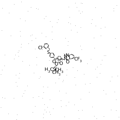 C[Si](C)(C)CCOC(=O)[C@H]1[C@H](Cn2nnc3ccc(C(F)(F)F)cc3c2=O)CC[C@@H]1C(=O)c1ccc(SCc2cccc(Cl)c2)cc1